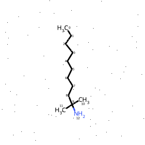 CCCCCCCCCC(C)(C)N